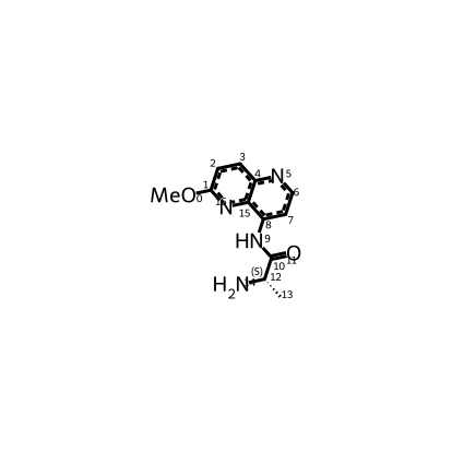 COc1ccc2nccc(NC(=O)[C@H](C)N)c2n1